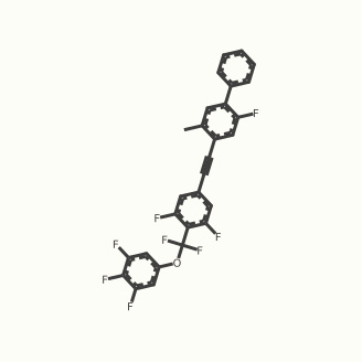 Cc1cc(-c2ccccc2)c(F)cc1C#Cc1cc(F)c(C(F)(F)Oc2cc(F)c(F)c(F)c2)c(F)c1